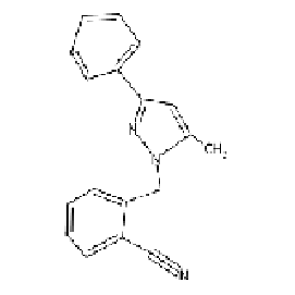 Cc1cc(-c2ccccc2)nn1Cc1ccccc1C#N